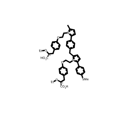 CCO[C@@H](Cc1ccc(OCCn2c(C)ccc2-c2ccc(Cc3ccc(-c4ccc(SC)cc4)n3CCOc3ccc(C[C@H](OCC)C(=O)O)cc3)cc2)cc1)C(=O)O